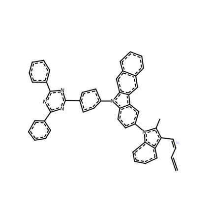 C=C/C=C\c1c(C)n(-c2ccc3c(c2)c2cc4ccccc4cc2n3-c2ccc(-c3nc(-c4ccccc4)nc(-c4ccccc4)n3)cc2)c2ccccc12